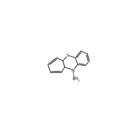 BN1c2ccccc2SC2C=CC=CC21